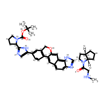 CNCC(=O)N1[C@H](c2nc3ccc4cc5c(cc4c3[nH]2)OCc2cc(-c3cnc(C4CCCN4C(=O)OC(C)(C)C)[nH]3)ccc2-5)C[C@@H]2CCC[C@@H]21